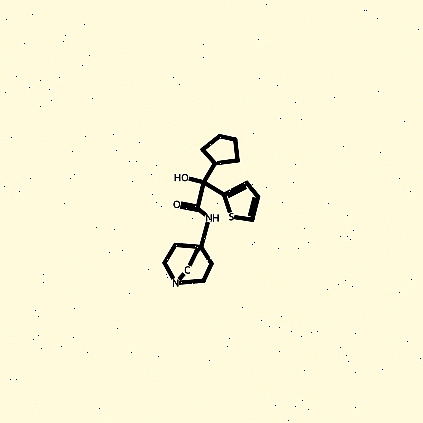 O=C(NC12CCN(CC1)CC2)C(O)(c1cccs1)C1CCCC1